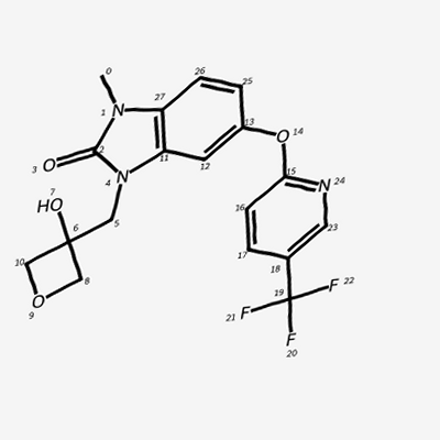 Cn1c(=O)n(CC2(O)COC2)c2cc(Oc3ccc(C(F)(F)F)cn3)ccc21